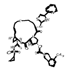 Cc1cccc2c1CN(C(=O)O[C@@H]1C[C@H]3C(=O)N[C@]4(C(=O)NS(=O)(=O)C5CC5)C[C@H]4/C=C\CCCCC[C@H](NC4NC(c5ccccn5)=CS4)C(=O)N3C1)C2